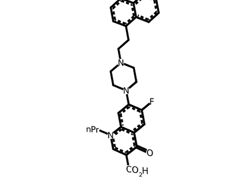 CCCn1cc(C(=O)O)c(=O)c2cc(F)c(N3CCN(CCc4cccc5ccccc45)CC3)cc21